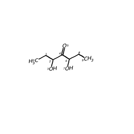 CCC(O)C(=O)C(O)CC